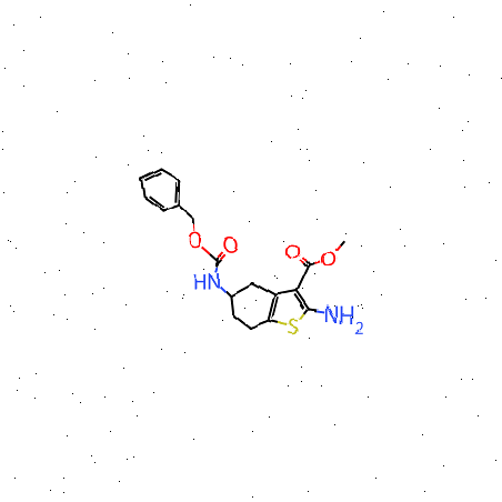 COC(=O)c1c(N)sc2c1CC(NC(=O)OCc1ccccc1)CC2